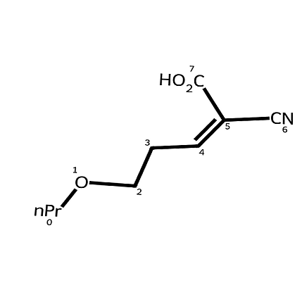 CCCOCCC=C(C#N)C(=O)O